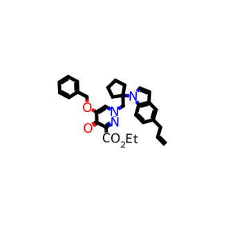 C=CCc1ccc2c(ccn2C2(Cn3cc(OCc4ccccc4)c(=O)c(C(=O)OCC)n3)CCCC2)c1